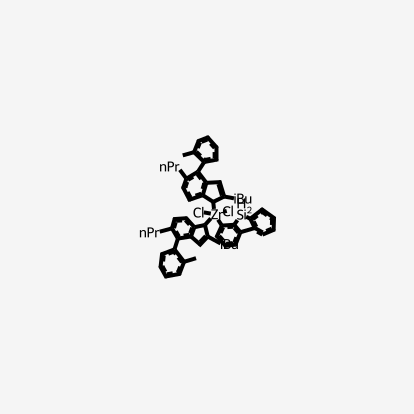 CCCc1ccc2c(c1-c1ccccc1C)C=C(C(C)CC)[CH]2[Zr]([Cl])([Cl])([c]1cccc2c1[SiH2]c1ccccc1-2)[CH]1C(C(C)CC)=Cc2c1ccc(CCC)c2-c1ccccc1C